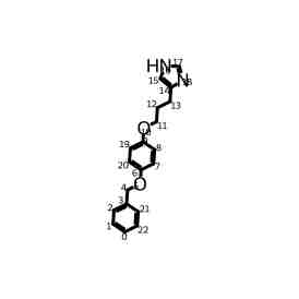 c1ccc(COc2ccc(OCCCc3c[nH]cn3)cc2)cc1